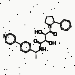 C[C@@H](NC(=O)[C@H](O)[C@@H](O)C(=O)N1CCCC1c1ccccc1)c1ccc(-c2ccncc2)cc1